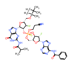 CC(C)C(=O)Nc1nc2c(ncn2[C@@H]2O[C@H](CO[Si](C)(C)C(C)(C)C)[C@@H](F)[C@@H]2OP(=S)(OCCC#N)OC[C@H]2O[C@@H](n3cnc4c(NC(=O)c5ccccc5)ncnc43)[C@@H](F)[C@@H]2O)c(=O)[nH]1